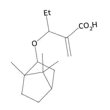 C=C(C(=O)O)C(CC)OC1CC2CCC1(C)C2(C)C